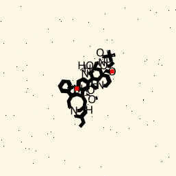 CCC1=C[C@@H]2CN(CCc3c([nH]c4ccccc34)[C@@](C(=O)OC)(c3cc4c(cc3OC)N(C)[C@H]3C(O)(CNC(=O)C(C)(C)C)[C@H](OC(C)=O)[C@]5(CC)C=CCN6CC[C@]43[C@@H]65)C2)C1